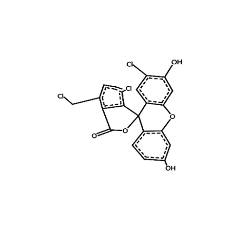 O=C1OC2(c3ccc(O)cc3Oc3cc(O)c(Cl)cc32)c2c(Cl)ccc(CCl)c21